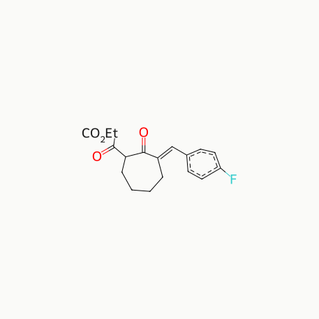 CCOC(=O)C(=O)C1CCCCC(=Cc2ccc(F)cc2)C1=O